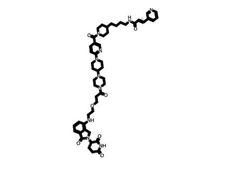 O=C(/C=C/c1cccnc1)NCCCCC1CCN(C(=O)c2ccc(N3CCC(N4CCN(C(=O)CCOCCNc5cccc6c5CN(C5CCC(=O)NC5=O)C6=O)CC4)CC3)nc2)CC1